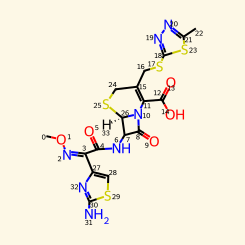 CO/N=C(\C(=O)NC1C(=O)N2C(C(=O)O)=C(CSc3nnc(C)s3)CS[C@H]12)c1csc(N)n1